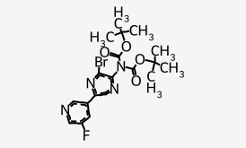 CC(C)(C)OC(=O)N(C(=O)OC(C)(C)C)c1ncc(-c2cncc(F)c2)nc1Br